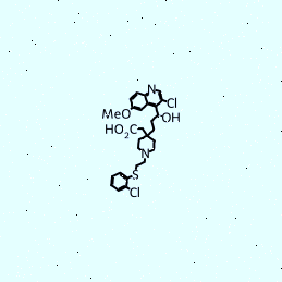 COc1ccc2ncc(Cl)c([C@H](O)CCC3(CC(=O)O)CCN(CCSc4ccccc4Cl)CC3)c2c1